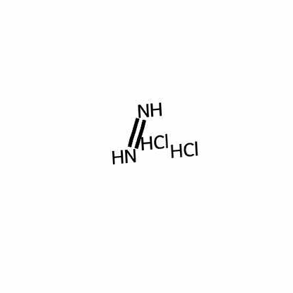 Cl.Cl.N=N